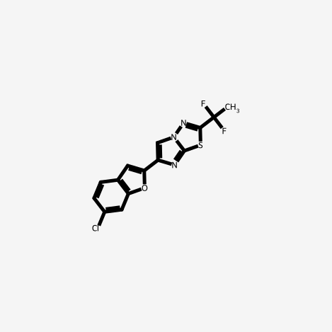 CC(F)(F)c1nn2cc(-c3cc4ccc(Cl)cc4o3)nc2s1